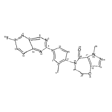 Cc1cc(-c2ncc3nc(F)ccc3n2)ccc1N1CCOc2cnn(C)c2C1=O